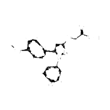 COc1ccc(-c2cc(OCC(=O)O)nn2-c2ccccc2)cc1